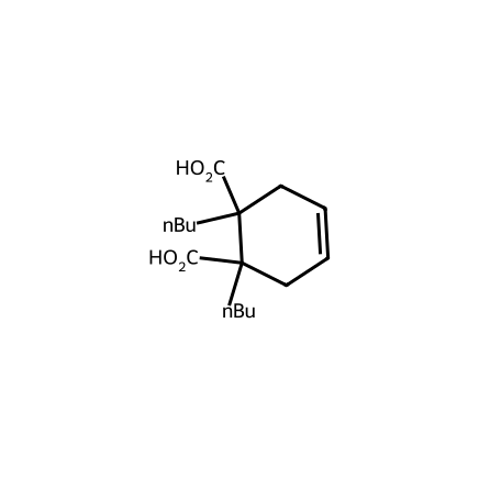 CCCCC1(C(=O)O)CC=CCC1(CCCC)C(=O)O